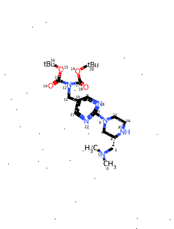 CN(C)C[C@@H]1CN(c2ncc(CN(C(=O)OC(C)(C)C)C(=O)OC(C)(C)C)cn2)CCN1